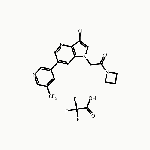 O=C(Cn1cc(Cl)c2ncc(-c3cncc(C(F)(F)F)c3)cc21)N1CCC1.O=C(O)C(F)(F)F